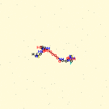 Cc1ncsc1-c1ccc(CNC(=O)[C@@H]2C[C@@H](O)CN2C(=O)[C@@H](NC(=O)COCCOCCOCCOCCOCCNC(=O)c2ccc(-c3ccc4c(c3)C(=O)N(C(C(=O)Nc3nccs3)c3cc(F)ccc3O)C4)cc2)C(C)(C)C)cc1